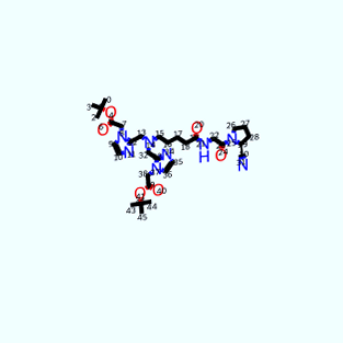 CC(C)(C)OC(=O)Cn1ccnc1CN(CCCCC(=O)NCC(=O)N1CCC[C@H]1C#N)Cc1nccn1CC(=O)OC(C)(C)C